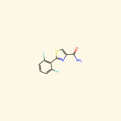 NC(=O)c1csc(-c2c(F)cccc2F)n1